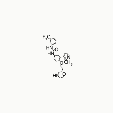 Cn1nccc1-c1cc(NC(=O)Nc2cccc(C(F)(F)F)c2)ccc1OCCC1CNCCO1